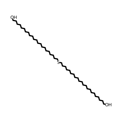 OCCCCCCCCCCCCCCCCCCCCCCSCCCCCCCCCCCCCCCCCCCCCCO